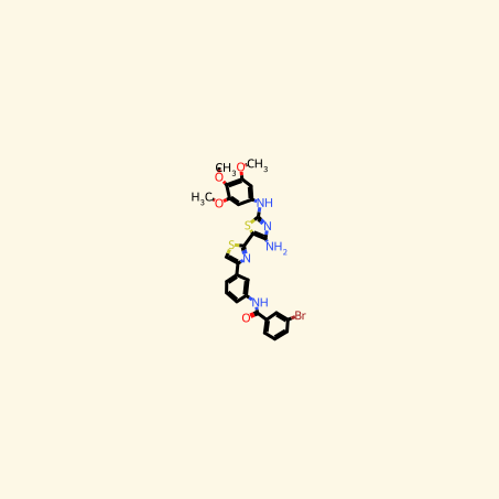 COc1cc(Nc2nc(N)c(-c3nc(-c4cccc(NC(=O)c5cccc(Br)c5)c4)cs3)s2)cc(OC)c1OC